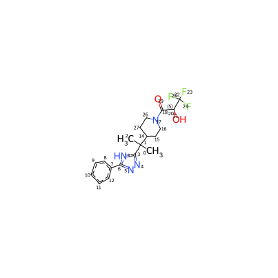 CC(C)(c1nnc(-c2ccccc2)[nH]1)C1CCN(C(=O)[C@H](O)C(F)(F)F)CC1